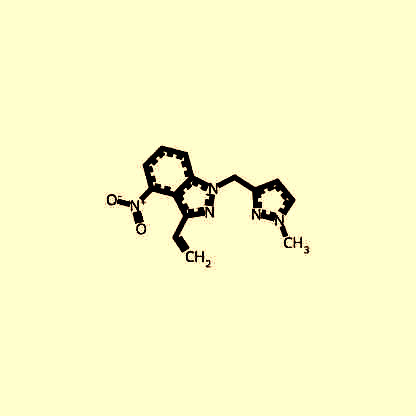 C=Cc1nn(Cc2ccn(C)n2)c2cccc([N+](=O)[O-])c12